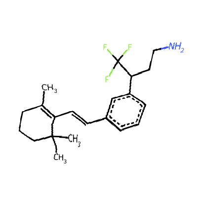 CC1=C(C=Cc2cccc(C(CCN)C(F)(F)F)c2)C(C)(C)CCC1